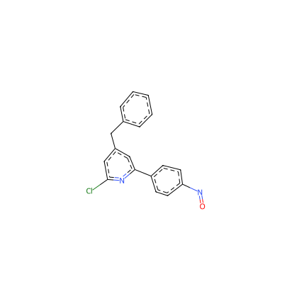 O=Nc1ccc(-c2cc(Cc3ccccc3)cc(Cl)n2)cc1